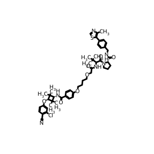 Cc1ncsc1-c1ccc(CNC(=O)[C@@H]2CCCN2C(=O)C(NC(=O)COCCCCOc2ccc(C(=O)N[C@H]3C(C)(C)[C@H](Oc4ccc(C#N)c(Cl)c4)C3(C)C)cc2)C(C)(C)C)cc1